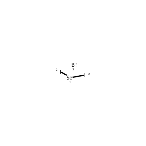 I[Se]I.[Bi]